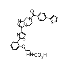 O=C(O)NCCOc1ccccc1-c1nc(-c2nnc3n2CCN(C(=O)c2ccc(-c4cccs4)cc2)C3)cs1